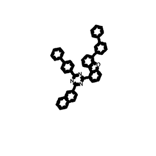 c1ccc(-c2ccc(-c3nc(-c4ccc5ccccc5c4)nc(-c4cccc5oc6c(-c7cccc(-c8ccccc8)c7)cccc6c45)n3)cc2)cc1